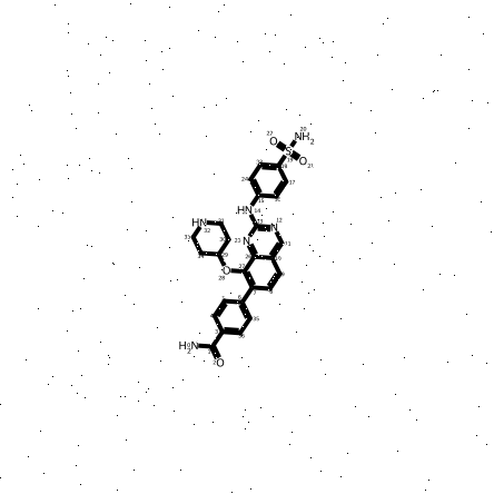 NC(=O)c1ccc(-c2ccc3cnc(Nc4ccc(S(N)(=O)=O)cc4)nc3c2OC2CCNCC2)cc1